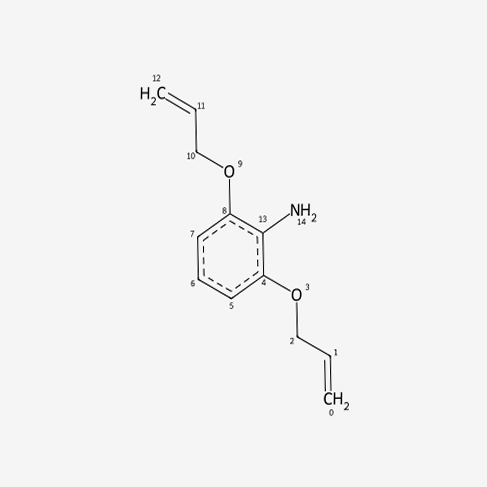 C=CCOc1cccc(OCC=C)c1N